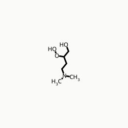 CN(C)CCC(CO)OO